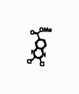 COC(=O)c1ccc2nc(Cl)c(Cl)nc2c1